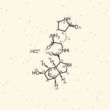 Cl.NC(=O)[C@H](C[C@@H]1CCNC1=O)NC(=O)[C@H]1NC[C@@H]2[C@H]3C[C@@H]([C@@H]21)[C@H](O)C3